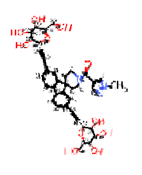 Cn1cc(C(=O)N2CCC3(CC2)c2cc(C#C[C@H]4O[C@H](CO)[C@@H](O)[C@H](O)[C@@H]4O)ccc2-c2ccc(C#C[C@H]4O[C@H](CO)[C@@H](O)[C@H](O)[C@@H]4O)cc23)cn1